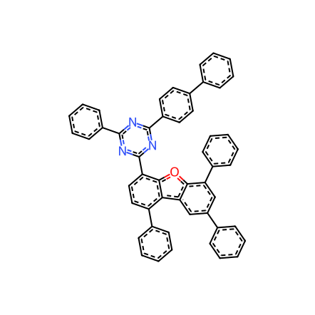 c1ccc(-c2ccc(-c3nc(-c4ccccc4)nc(-c4ccc(-c5ccccc5)c5c4oc4c(-c6ccccc6)cc(-c6ccccc6)cc45)n3)cc2)cc1